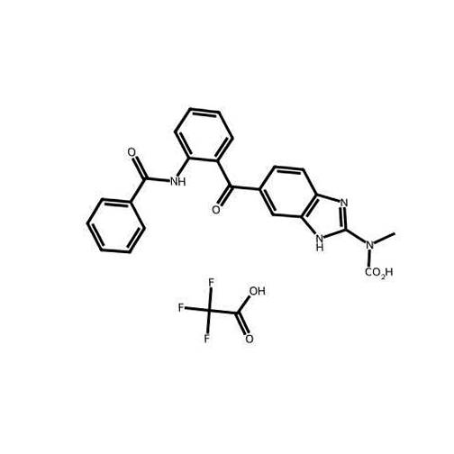 CN(C(=O)O)c1nc2ccc(C(=O)c3ccccc3NC(=O)c3ccccc3)cc2[nH]1.O=C(O)C(F)(F)F